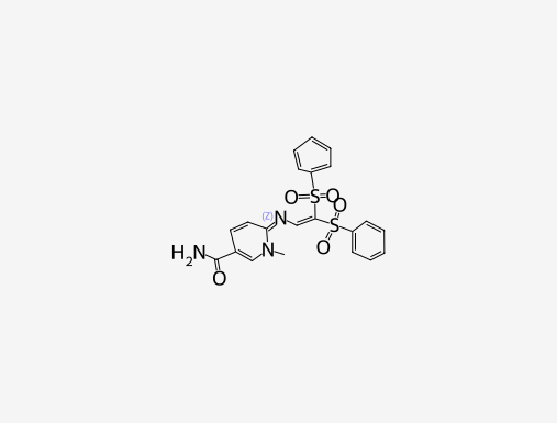 Cn1cc(C(N)=O)cc/c1=N/C=C(S(=O)(=O)c1ccccc1)S(=O)(=O)c1ccccc1